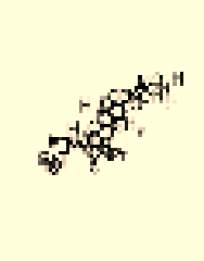 CC(C)C1=C2[C@H]3CCC4[C@@]5(C)CC[C@H](OC(=O)CC(C)(C)C(=O)O)C(C)(C)C5CC[C@@]4(C)[C@]3(C)CC[C@@]2(CCN(CCN2CCCC2=O)CC2CC2)CC1=O